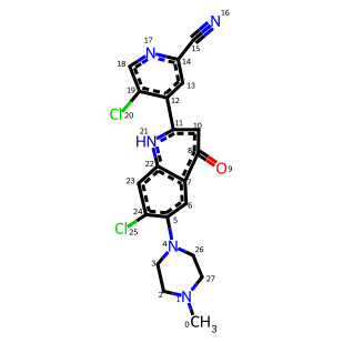 CN1CCN(c2cc3c(=O)cc(-c4cc(C#N)ncc4Cl)[nH]c3cc2Cl)CC1